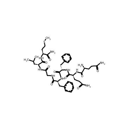 CSCC[C@H](NC(=O)[C@H](CC(C)C)NC(=O)CNC(=O)[C@H](Cc1ccccc1)NC(=O)[C@H](Cc1ccccc1)NC(=O)[C@H](CCC(N)=O)NC(=O)[C@@H](N)CCC(N)=O)C(N)=O